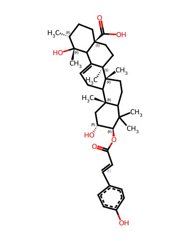 C[C@@H]1CC[C@]2(C(=O)O)CC[C@]3(C)C(=CCC4[C@@]5(C)C[C@@H](O)[C@H](OC(=O)/C=C/c6ccc(O)cc6)C(C)(C)C5CC[C@]43C)C2[C@]1(C)O